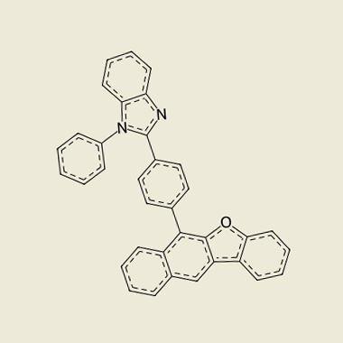 c1ccc(-n2c(-c3ccc(-c4c5ccccc5cc5c4oc4ccccc45)cc3)nc3ccccc32)cc1